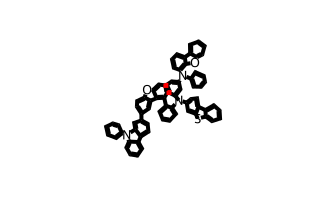 c1ccc(N(c2cccc(N(c3ccc4c(c3)sc3ccccc34)c3ccccc3-c3cccc4oc5ccc(-c6ccc7c8ccccc8n(-c8ccccc8)c7c6)cc5c34)c2)c2cccc3c2oc2ccccc23)cc1